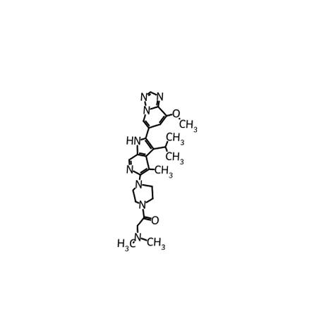 COc1cc(-c2[nH]c3cnc(N4CCN(C(=O)CN(C)C)CC4)c(C)c3c2C(C)C)cn2ncnc12